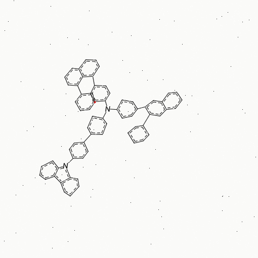 c1ccc(-c2cc3ccccc3cc2-c2ccc(N(c3ccc(-c4ccc(-n5c6ccccc6c6ccccc65)cc4)cc3)c3ccc(-c4cccc5cccc(-c6ccccc6)c45)cc3)cc2)cc1